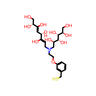 OC[C@@H](O)C(O)=C[C@H](O)C(O)=CCN(CCOc1cccc(CS)c1)C[C@@H](O)[C@@H](O)[C@H](O)[C@H](O)CO